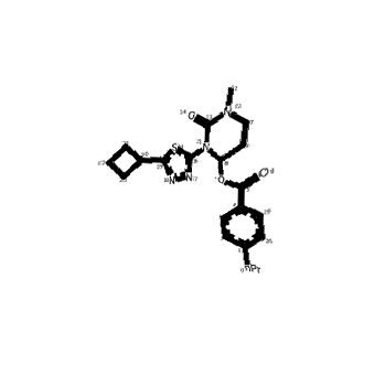 CCCc1ccc(C(=O)OC2CCN(C)C(=O)N2c2nnc(C3CCC3)s2)cc1